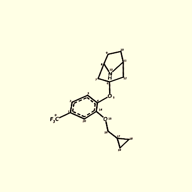 FC(F)(F)c1ccc(OC2CC3CCC(C2)N3)c(OCC2CC2)c1